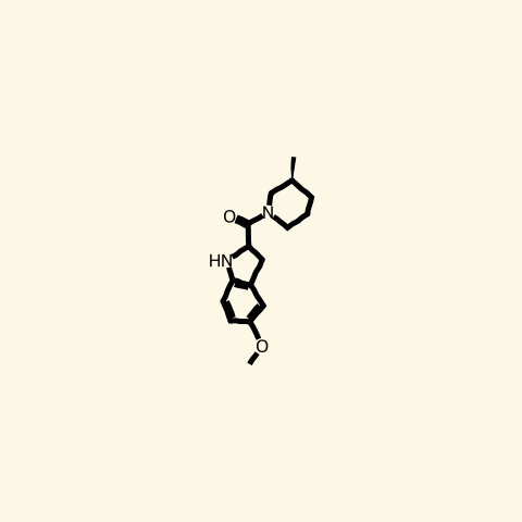 COc1ccc2c(c1)CC(C(=O)N1CCC[C@H](C)C1)N2